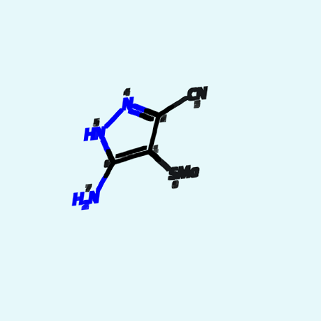 CSc1c(C#N)n[nH]c1N